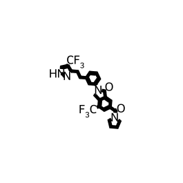 O=C(c1cc2c(c(C(F)(F)F)c1)CN(c1cccc(CCc3n[nH]cc3C(F)(F)F)c1)C2=O)N1CCCC1